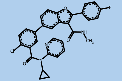 CNC(=O)c1c(-c2ccc(F)cc2)oc2ccc(-c3ccc(Cl)c(C(=O)N(c4ccccn4)C4CC4)c3)cc12